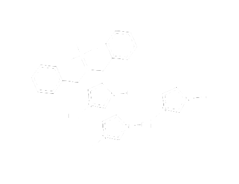 CC[n+]1ccn(C)c1.CC[n+]1ccn(C)c1.CC[n+]1ccn(C)c1.[O-]P([O-])([S-])=S(Cc1ccccc1)Cc1ccccc1